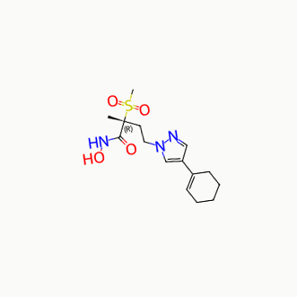 C[C@@](CCn1cc(C2=CCCCC2)cn1)(C(=O)NO)S(C)(=O)=O